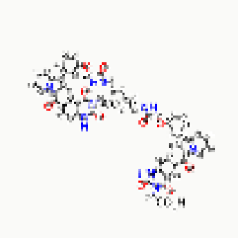 Cc1c(-c2cccc(OCC(=O)NCCCCCCNC(=O)COc3cccc(-c4c(C)c(C(=O)c5ccc6[nH]c(=O)n(CC(=O)O)c(=O)c6c5)n5ccccc45)c3)c2)c2ccccn2c1C(=O)c1ccc2[nH]c(=O)n(CC(=O)O)c(=O)c2c1